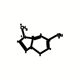 CN1C=CC2CC=C(C(C)(C)C)C=C21